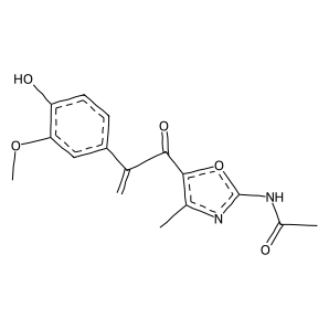 C=C(C(=O)c1oc(NC(C)=O)nc1C)c1ccc(O)c(OC)c1